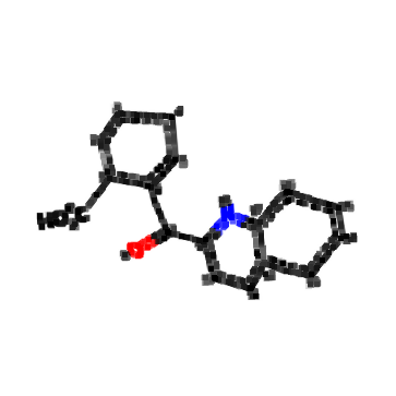 O=C(O)c1ccccc1C(=O)c1ccc2ccccc2n1